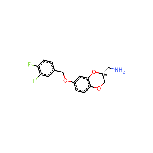 NC[C@@H]1COc2ccc(OCc3ccc(F)c(F)c3)cc2O1